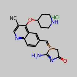 Cl.N#Cc1cnc2ccc(/C=S3/CC(=O)N=C3N)cc2c1OC1CCNCC1